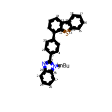 CCCCn1c(-c2ccc(-c3cccc4c3sc3ccccc34)cc2)nc2ccccc21